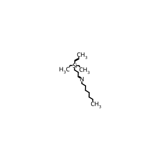 CC=C[Si](CC)(CC)CCC=NCCCCCCC